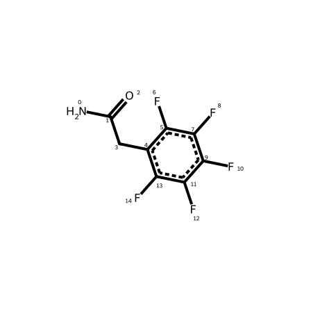 NC(=O)Cc1c(F)c(F)c(F)c(F)c1F